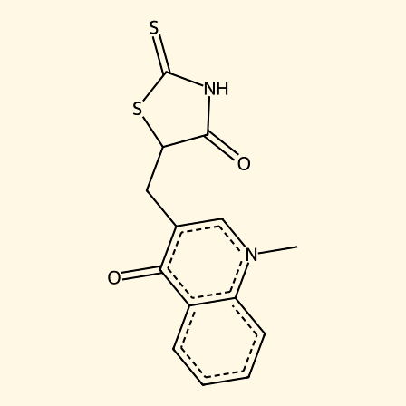 Cn1cc(CC2SC(=S)NC2=O)c(=O)c2ccccc21